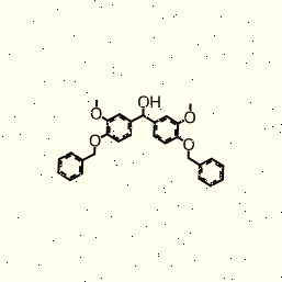 COc1cc(C(O)c2ccc(OCc3ccccc3)c(OC)c2)ccc1OCc1ccccc1